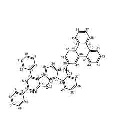 c1ccc(-c2nc(-c3ccccc3)c3c(n2)sc2c3ccc3c2c2ccccc2n3-c2ccc3c4ccccc4c4ccccc4c3c2)cc1